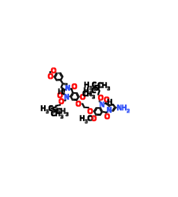 COc1cc2c(cc1OCCCOc1cc3c(cc1OC)C(=O)N1C=C(c4ccc5c(c4)OCO5)C[C@H]1C(=O)N3COCC[Si](C)(C)C)N(COCC[Si](C)(C)C)C(=O)[C@@H]1CC(N)=CN1C2=O